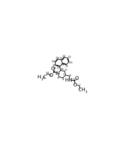 CCOC(=O)NCC1CCN(C(=O)OCC)C(c2cccc3ccccc23)C1